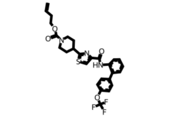 C=CCCOC(=O)N1CCC(c2nc(C(=O)Nc3ccccc3-c3ccc(OC(F)(F)F)cc3)cs2)CC1